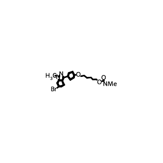 CNC(=O)OCCCCCCOc1ccc(-c2nn(C)c3cc(Br)ccc23)cc1